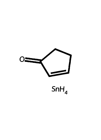 O=C1C=CCC1.[SnH4]